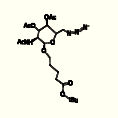 CC(=O)N[C@H]1C(OC(C)=O)[C@@H](OC(C)=O)C(CN=[N+]=[N-])O[C@H]1OCCCCC(=O)OC(C)(C)C